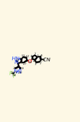 N#Cc1ccc2c(c1)CC[C@H]2Oc1ccc2[nH]nc(-c3cnn(C(F)F)c3)c2c1